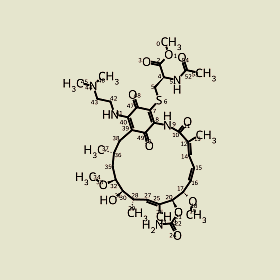 COC(=O)[C@H](CSC1=C2NC(=O)/C(C)=C/C=C\[C@H](OC)[C@@H](OC(N)=O)/C(C)=C/[C@H](C)[C@@H](O)[C@@H](OC)C[C@H](C)CC(=C(NCCN(C)C)C1=O)C2=O)NC(C)=O